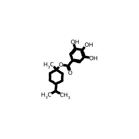 CC(C)C1CCC(C)(OC(=O)c2cc(O)c(O)c(O)c2)CC1